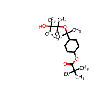 CCC(C)(C)C(=O)OC1CCC(C(C)(C)OC(C)(C)C(O)(C(F)(F)F)C(F)(F)F)CC1